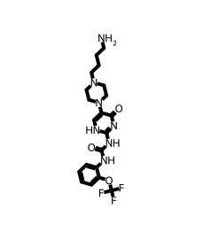 NCCCCN1CCN(c2c[nH]c(NC(=O)Nc3ccccc3OC(F)(F)F)nc2=O)CC1